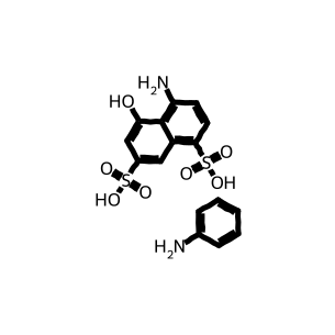 Nc1ccc(S(=O)(=O)O)c2cc(S(=O)(=O)O)cc(O)c12.Nc1ccccc1